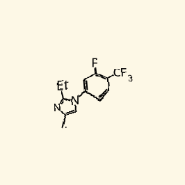 [CH2]c1cn(-c2ccc(C(F)(F)F)c(F)c2)c(CC)n1